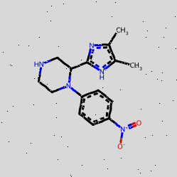 Cc1nc(C2CNCCN2c2ccc([N+](=O)[O-])cc2)[nH]c1C